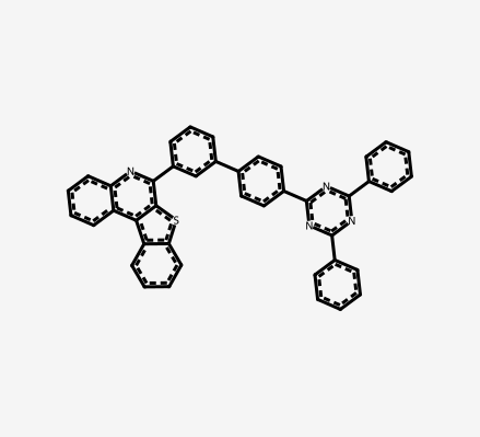 c1ccc(-c2nc(-c3ccccc3)nc(-c3ccc(-c4cccc(-c5nc6ccccc6c6c5sc5ccccc56)c4)cc3)n2)cc1